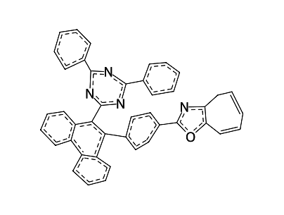 C1=CCc2nc(-c3ccc(-c4c(-c5nc(-c6ccccc6)nc(-c6ccccc6)n5)c5ccccc5c5ccccc45)cc3)oc2C=C1